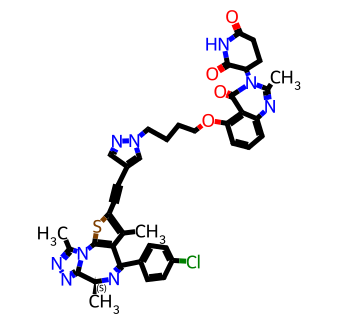 Cc1c(C#Cc2cnn(CCCCOc3cccc4nc(C)n(C5CCC(=O)NC5=O)c(=O)c34)c2)sc2c1C(c1ccc(Cl)cc1)=N[C@@H](C)c1nnc(C)n1-2